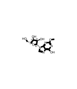 COc1nc(O)c2ncn([C@@H]3O[C@H](CO)[C@@H](O)[C@H]3O)c2n1